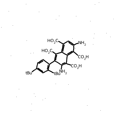 CC(C)(C)c1ccc(-c2c(N)c(C(=O)O)c3c(C(=O)O)c(N)cc(C(=O)O)c3c2C(=O)O)c(C(C)(C)C)c1